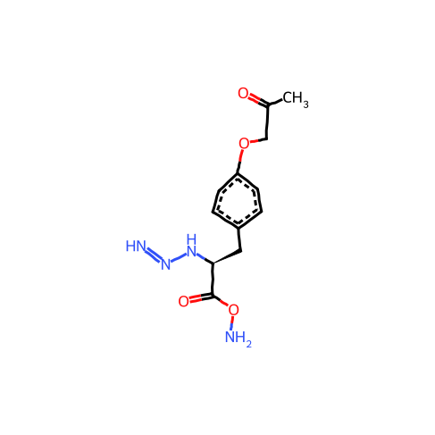 CC(=O)COc1ccc(C[C@H](NN=N)C(=O)ON)cc1